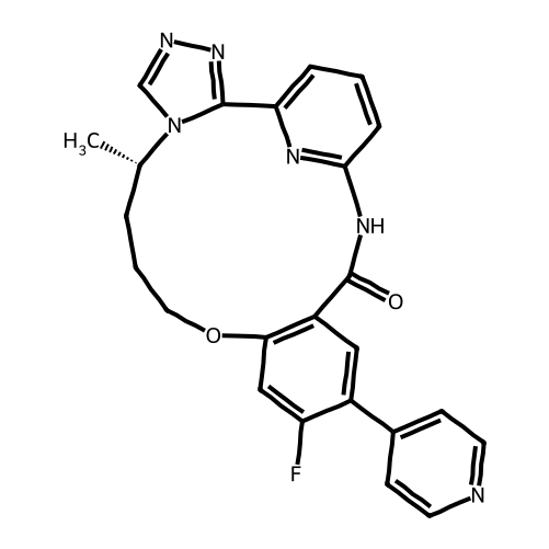 C[C@H]1CCCOc2cc(F)c(-c3ccncc3)cc2C(=O)Nc2cccc(n2)-c2nncn21